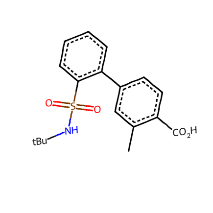 Cc1cc(-c2ccccc2S(=O)(=O)NC(C)(C)C)ccc1C(=O)O